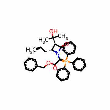 C=CC[C@@H]1[C@@H](C(C)(C)O)C(=O)N1C(C(=O)OCc1ccccc1)=P(c1ccccc1)(c1ccccc1)c1ccccc1